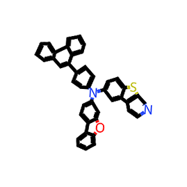 c1ccc2c(c1)cc(-c1ccc(N(c3ccc4c(c3)oc3ccccc34)c3ccc4sc5cnccc5c4c3)cc1)c1ccccc12